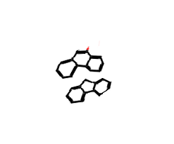 Oc1cc2ccccc2c2ccccc12.c1ccc2c(c1)Cc1ccccc1-2